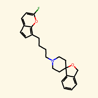 Fc1ccc2ccc(CCCCN3CCC4(CC3)OCc3ccccc34)c-2o1